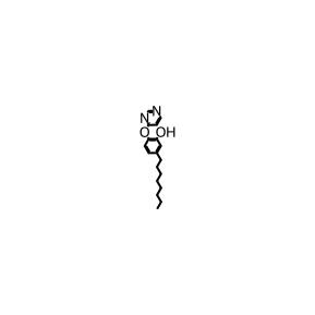 CCCCCCCCc1ccc(Oc2ccncn2)c(O)c1